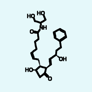 O=C(CCC/C=C\C[C@H]1[C@@H](O)CC(=O)[C@@H]1/C=C/[C@@H](O)CCc1ccccc1)NC(CO)CO